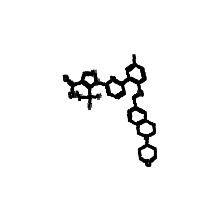 Cc1ccc(OCc2ccc3c(c2)CCN(C2CCOCC2)C3)c(-c2cccc(-n3ncc(C(=O)O)c3C(F)(F)F)n2)c1